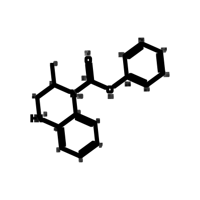 CC1CNc2ccccc2N1C(=O)Oc1ccccc1